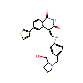 O=C1NC(=O)c2ccc(-c3ccsc3)cc2C1=CNc1ccc(CN2CCCC2CO)cc1